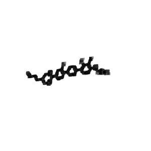 C=CCCC1COC(c2ccc(-c3ccc(-c4ccc(OCCCCCCCC)c(F)c4F)cc3)c(F)c2)OC1